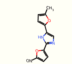 Cc1ccc(-c2cnc(-c3ccc(N=O)o3)[nH]2)o1